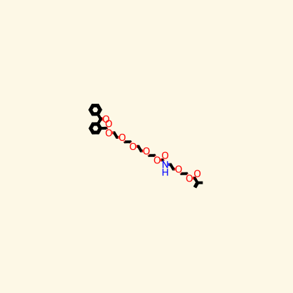 C=C(C)C(=O)OCCOCCNC(=O)OCCOCCOCCOCCOC(=O)c1ccccc1C(=O)c1ccccc1